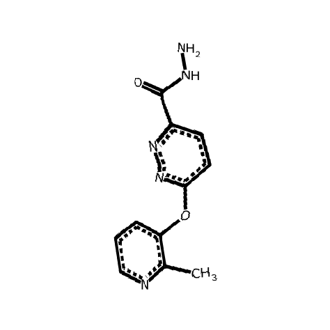 Cc1ncccc1Oc1ccc(C(=O)NN)nn1